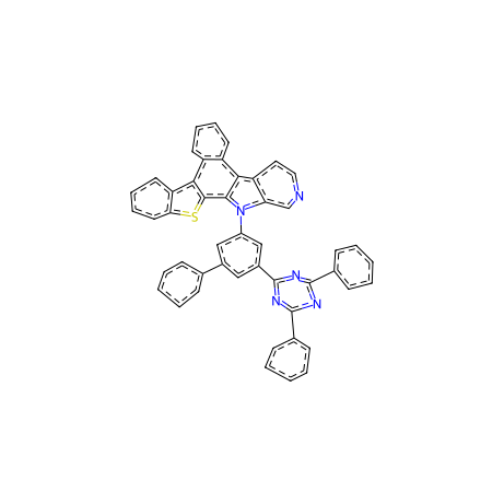 c1ccc(-c2cc(-c3nc(-c4ccccc4)nc(-c4ccccc4)n3)cc(-n3c4cnccc4c4c5ccccc5c5c6ccccc6sc5c43)c2)cc1